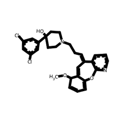 COC1C=CC=C2Oc3ncccc3C(=CCCN3CCC(O)(c4cc(Cl)cc(Cl)c4)CC3)C=C21